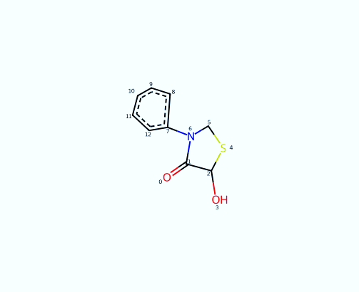 O=C1C(O)SCN1c1ccccc1